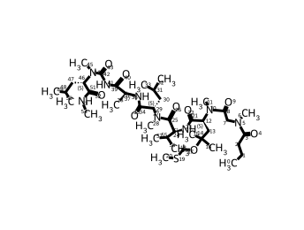 CCCC(=O)N(C)CC(=O)N(C)[C@@H](CC(C)(C)OCSC)C(=O)N[C@H](C(=O)N(C)[C@@H](CC(C)C)C(=O)N[C@@H](C)C(=O)NC(=O)N(C)[C@@H](CC(C)C)C(=O)NC)C(C)C